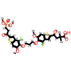 COc1cc2sc(C(=O)CCP(=O)(OC)OC)cc2c(F)c1OCCCOc1c(OC)cc2sc(C(=O)CC(C)(C)C(=O)O)cc2c1F